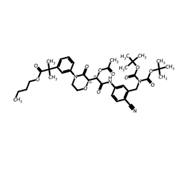 CCCCOC(=O)C(C)(C)c1cccc(N2CCO[C@H]([C@@H](OC(C)=O)C(=O)Nc3ccc(C#N)c(CN(C(=O)OC(C)(C)C)C(=O)OC(C)(C)C)c3)C2=O)c1